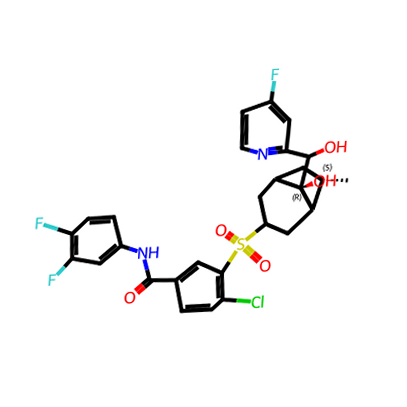 C[C@H]1CC2CC(S(=O)(=O)c3cc(C(=O)Nc4ccc(F)c(F)c4)ccc3Cl)CC1[C@@]2(O)C(O)c1cc(F)ccn1